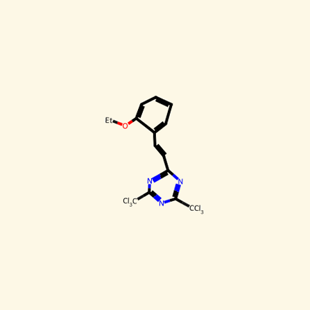 CCOc1ccccc1C=Cc1nc(C(Cl)(Cl)Cl)nc(C(Cl)(Cl)Cl)n1